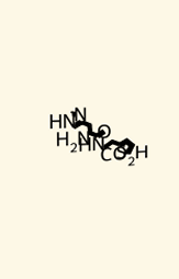 N[C@@H](Cc1c[nH]cn1)C(=O)N[C@@H](Cc1cccs1)C(=O)O